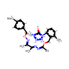 CCC(=NN=C(C)/C(C)=N/OCc1ccc(OC)cc1)OCc1c(C)cccc1-n1nnn(C)c1=O